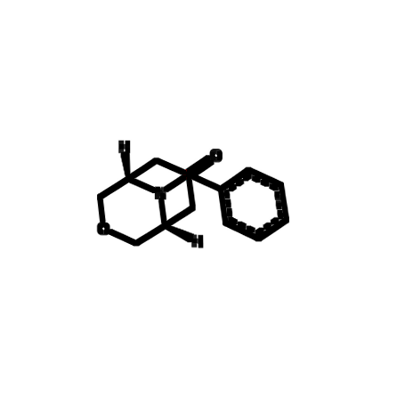 O=C1C[C@H]2COC[C@@H](C1)N2Cc1ccccc1